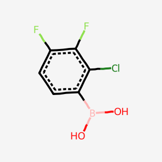 OB(O)c1ccc(F)c(F)c1Cl